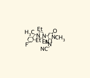 CCc1cc(F)ccc1C(C)N1C[C@H](CC)N(c2cc(=O)n(C)c3cn(CC#N)nc23)C[C@H]1CC